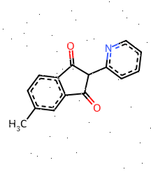 Cc1ccc2c(c1)C(=O)C(c1ccccn1)C2=O